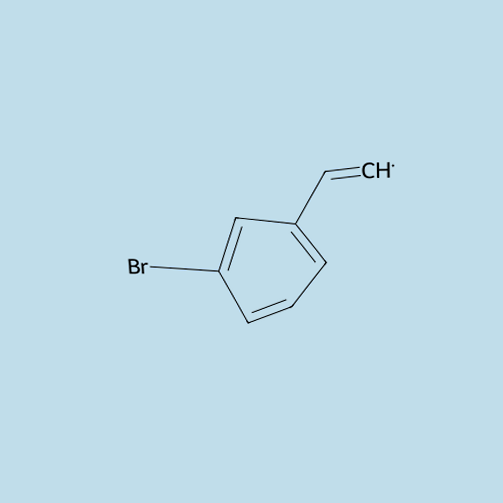 [CH]=Cc1cccc(Br)c1